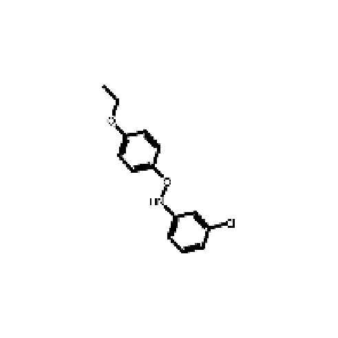 CCOc1ccc(ONc2cccc(Cl)c2)cc1